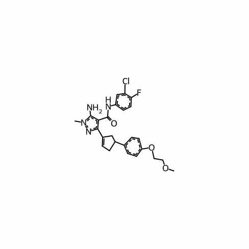 COCCOc1ccc(C2CC=C(c3nn(C)c(N)c3C(=O)Nc3ccc(F)c(Cl)c3)C2)cc1